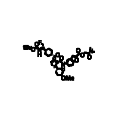 CO[C@H]1CC[C@H]([C@@H]2CCN(C(=O)[C@H]3CC[C@H]([C@@H](CF)NC(=O)OC(C)(C)C)CC3)[C@@H]2C(=O)Nc2ccc3oc(C(=O)OCC(=O)N(C)C)cc3c2)CC1